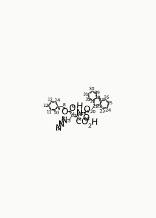 [N-]=[N+]=NCC(C(=O)OCc1ccccc1)[C@H](NC(=O)OCC1c2ccccc2-c2ccccc21)C(=O)O